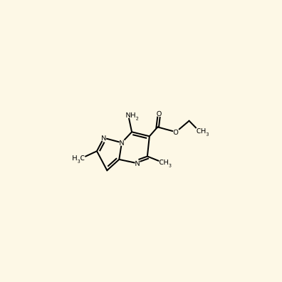 CCOC(=O)c1c(C)nc2cc(C)nn2c1N